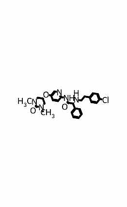 CN1CC(Oc2ccc(NC(=O)[C@H](NCCc3ccc(Cl)cc3)c3ccccc3)nc2)CN(C)C1=O